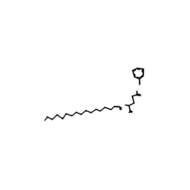 CCCCCCCCCCCCCCCCC(=O)NC(CCC(=O)OCc1ccccc1)C(=O)O